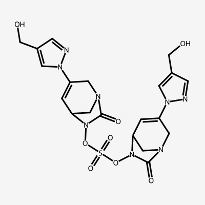 O=C1N2CC(n3cc(CO)cn3)=CC(C2)N1OS(=O)(=O)ON1C(=O)N2CC(n3cc(CO)cn3)=CC1C2